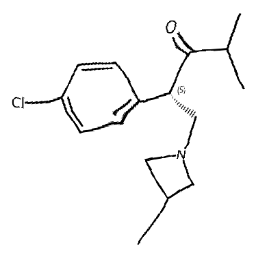 CC1CN(C[C@@H](C(=O)C(C)C)c2ccc(Cl)cc2)C1